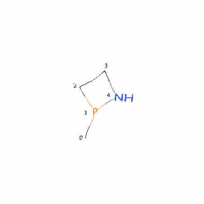 CP1CCN1